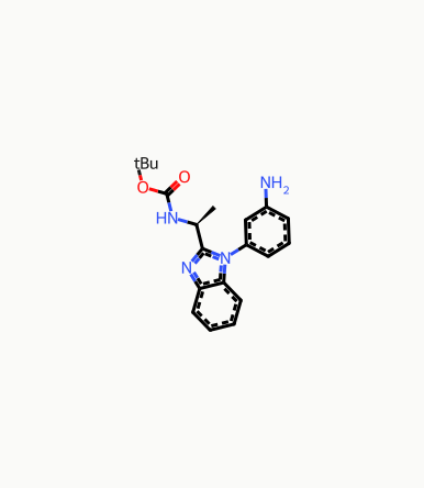 C[C@H](NC(=O)OC(C)(C)C)c1nc2ccccc2n1-c1cccc(N)c1